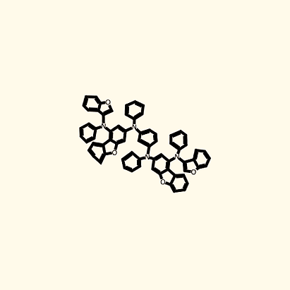 c1ccc(N(c2cccc(N(c3ccccc3)c3cc(N(c4ccccc4)c4coc5ccccc45)c4c(c3)oc3ccccc34)c2)c2cc(N(c3ccccc3)c3coc4ccccc34)c3c(c2)oc2ccccc23)cc1